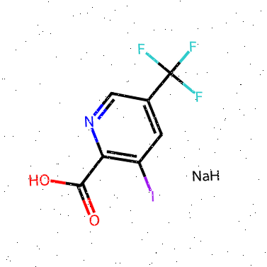 O=C(O)c1ncc(C(F)(F)F)cc1I.[NaH]